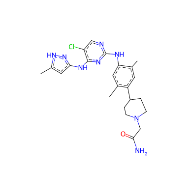 Cc1cc(Nc2nc(Nc3cc(C)c(C4CCN(CC(N)=O)CC4)cc3C)ncc2Cl)n[nH]1